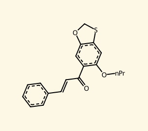 CCCOc1cc2c(cc1C(=O)/C=C/c1ccccc1)OCS2